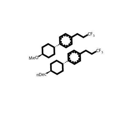 CCCCCCCCCC[C@H]1CC[C@H](c2ccc(CCC(F)(F)F)cc2)CC1.CO[C@H]1CC[C@H](c2ccc(CCC(F)(F)F)cc2)CC1